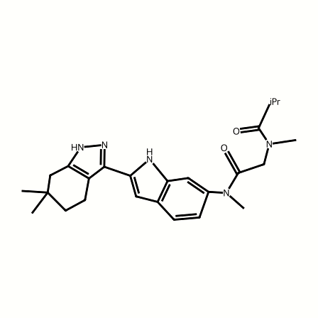 CC(C)C(=O)N(C)CC(=O)N(C)c1ccc2cc(-c3n[nH]c4c3CCC(C)(C)C4)[nH]c2c1